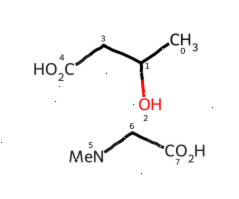 CC(O)CC(=O)O.CNCC(=O)O